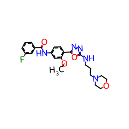 COc1cc(NC(=O)c2cccc(F)c2)ccc1-c1nnc(NCCCN2CCOCC2)o1